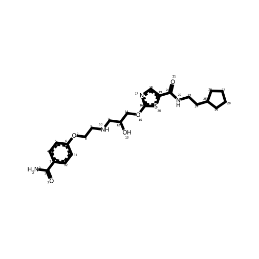 NC(=O)c1ccc(OCCNCC(O)COc2ncc(C(=O)NCCC3CCCC3)s2)cc1